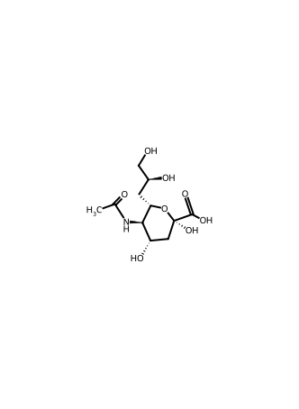 CC(=O)N[C@H]1[C@H](C[C@H](O)CO)O[C@@](O)(C(=O)O)C[C@@H]1O